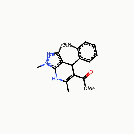 CCCc1nn(C)c2c1C(c1ccccc1[N+](=O)[O-])C(C(=O)OC)=C(C)N2